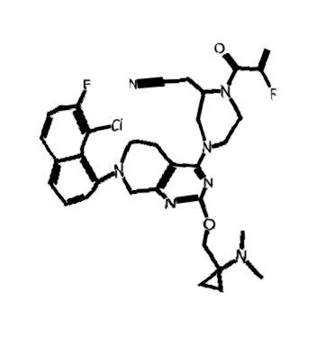 C=C(F)C(=O)N1CCN(c2nc(OCC3(N(C)C)CC3)nc3c2CCN(c2cccc4ccc(F)c(Cl)c24)C3)CC1CC#N